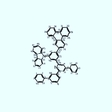 c1ccc(-c2cccc(-c3cc(-c4ccccc4)cc(-c4cc(-c5ccc6c7ccccc7c7ccccc7c6c5)cc(-n5c6ccccc6c6ccccc65)c4)n3)c2)cc1